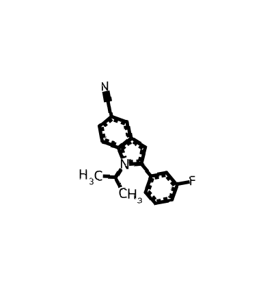 CC(C)n1c(-c2cccc(F)c2)cc2cc(C#N)ccc21